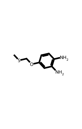 CSCOc1ccc(N)c(N)c1